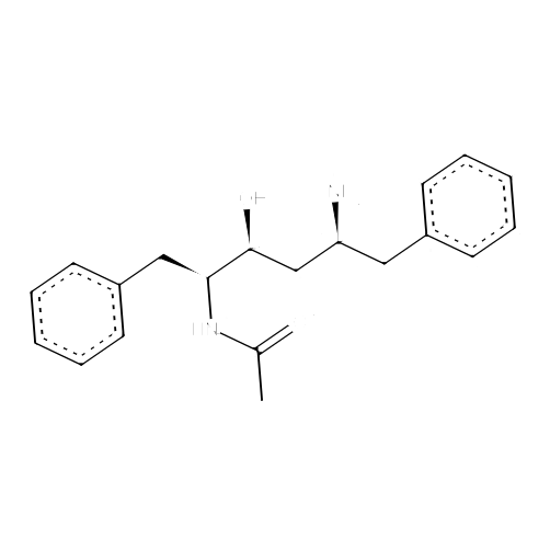 CC(=O)N[C@@H](Cc1ccccc1)[C@@H](O)C[C@@H](N)Cc1ccccc1